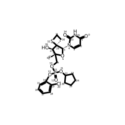 O=c1ccn([C@@H]2O[C@](F)(COP(=O)(Oc3ccccc3Cl)OC3CCCC3)[C@@H](O)[C@]23CCS3)c(=O)[nH]1